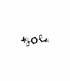 CC(C)(C)OC(=O)[C@H]1CC[C@H](C(=O)CC#N)CC1